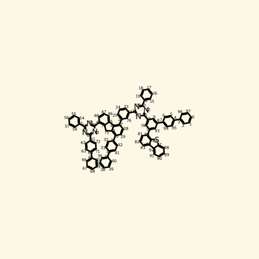 c1ccc(-c2ccc(-c3cc(-c4nc(-c5ccccc5)nc(-c5cccc(-c6ccc(-c7ccc(-c8ccccc8)cc7)c7c6-c6cccc(-c8nc(-c9ccccc9)nc(-c9ccc(-c%10ccccc%10)cc9)n8)c6C7)c5)n4)cc(-c4cccc5c4sc4ccccc45)c3)cc2)cc1